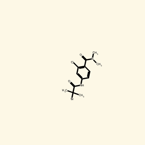 CN(C)C(=O)c1ccc(NC(=O)C(C)(C)Br)cc1Cl